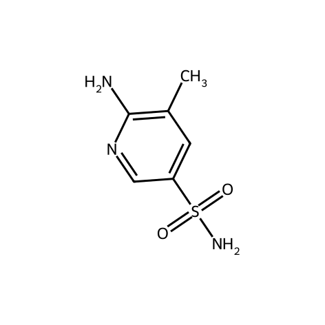 Cc1cc(S(N)(=O)=O)cnc1N